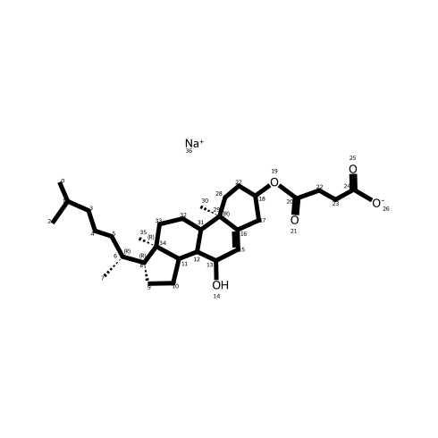 CC(C)CCC[C@@H](C)[C@H]1CCC2C3C(O)C=C4CC(OC(=O)CCC(=O)[O-])CC[C@]4(C)C3CC[C@@]21C.[Na+]